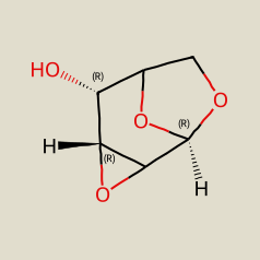 O[C@@H]1C2CO[C@H](O2)C2O[C@@H]21